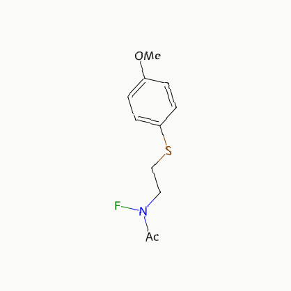 COc1ccc(SCCN(F)C(C)=O)cc1